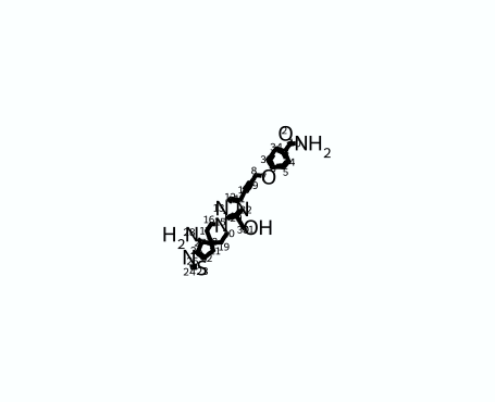 NC(=O)c1ccc(OCC#Cc2cnc(N3CCC4(CC3)Cc3scnc3C4N)c(CO)n2)cc1